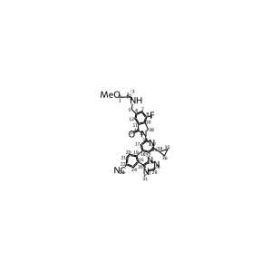 COC[C@H](C)NCc1cc(F)c2c(c1)C(=O)N(c1cc(-c3ccc(C#N)cc3-c3nncn3C)cc(C3CC3)n1)C2